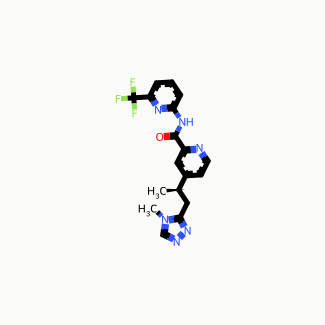 C[C@H](Cc1nncn1C)c1ccnc(C(=O)Nc2cccc(C(F)(F)F)n2)c1